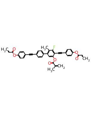 C=CC(=O)Oc1ccc(C#Cc2ccc(-c3cc(OC(=O)C(=C)C)c(C#Cc4ccc(OC(=O)C=C)cc4)c(F)c3C)cc2)cc1